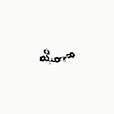 O=C(Cc1ccc(NC(=O)N2Cc3ccccc3C2)cc1)NC(CCN1CCOCC1)Cc1ccccc1